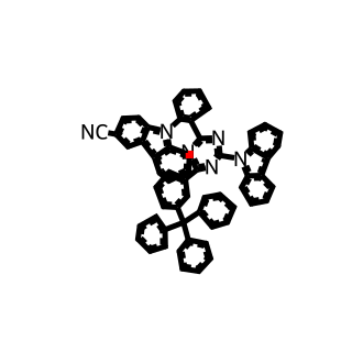 N#Cc1ccc2c(c1)c1ccccc1n2-c1ccccc1-c1nc(-c2cccc(C(c3ccccc3)(c3ccccc3)c3ccccc3)c2)nc(-n2c3ccccc3c3ccccc32)n1